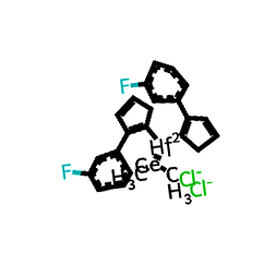 [CH3][Ge]([CH3])=[Hf+2]([C]1=C(c2cccc(F)c2)C=CC1)[C]1=C(c2cccc(F)c2)C=CC1.[Cl-].[Cl-]